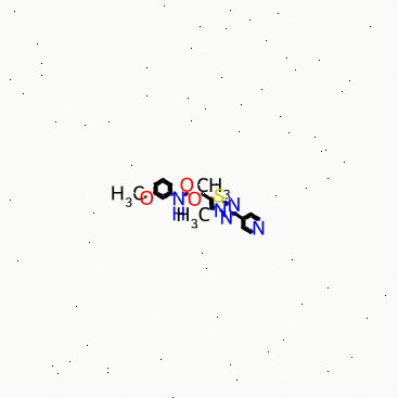 COc1cccc(NC(=O)OC(C)c2sc3nc(-c4ccncc4)nn3c2C)c1